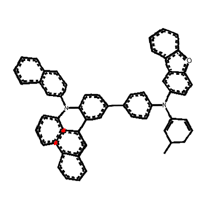 CC1C=C(N(c2ccc(-c3ccc(N(c4ccccc4)c4ccc5ccccc5c4)c(-c4ccc5ccccc5c4)c3)cc2)c2ccc3oc4ccccc4c3c2)C=CC1